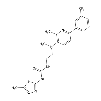 Cc1cnc(NC(=O)NCCN(C)c2ccc(-c3cccc(C(F)(F)F)c3)nc2C)s1